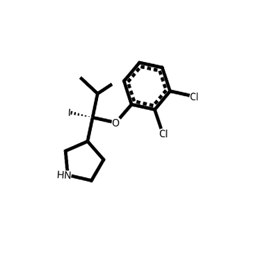 CC(C)[C@@](I)(Oc1cccc(Cl)c1Cl)C1CCNC1